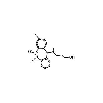 Cc1ccc2c(c1)[S+]([O-])N(C)c1ccccc1C2NCCCO